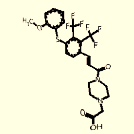 COc1ccccc1Sc1ccc(/C=C/C(=O)N2CCN(CC(=O)O)CC2)c(C(F)(F)F)c1C(F)(F)F